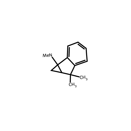 CNC12CC1C(C)(C)c1ccccc12